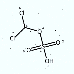 O=S(=O)(O)OC(Cl)Cl